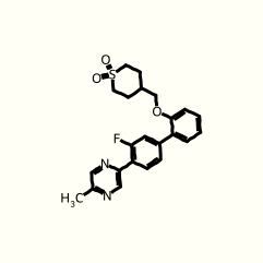 Cc1cnc(-c2ccc(-c3ccccc3OCC3CCS(=O)(=O)CC3)cc2F)cn1